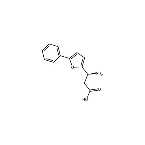 N[C@@H](CC(=O)O)c1ccc(-c2ccccc2)o1